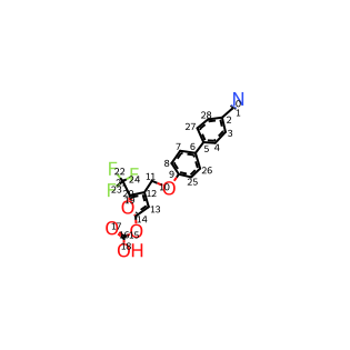 N#Cc1ccc(-c2ccc(OCc3cc(OC(=O)O)oc3C(F)(F)F)cc2)cc1